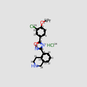 CC(C)Oc1ccc(-c2nc(-c3cccc4c3CCNC4)no2)cc1Cl.Cl